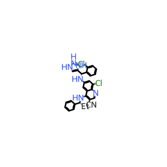 CC[C@@H](Nc1c(C#N)cnc2c(Cl)cc(N[C@H](C3=CNNN3)c3ccccc3Cl)cc12)c1ccccc1